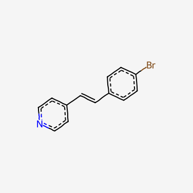 Brc1ccc(C=Cc2ccncc2)cc1